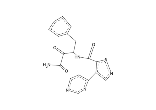 NC(=O)C(=O)C(Cc1ccccc1)NC(=O)c1sncc1-c1ccncn1